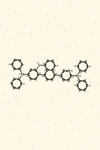 c1ccc(N(c2ccccc2)c2ccc3c(c2)Sc2cccc4c(-c5ccc(N(c6ccccc6)c6ccccc6)nc5)ccc-3c24)cc1